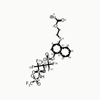 CCC(C)C(=O)OCCSc1ccc(OS(=O)(=O)C(F)(F)C(F)(F)C(F)(F)S(=O)(=O)NS(=O)(=O)C(F)(F)F)c2ccccc12